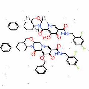 O=C(NCc1ccc(F)cc1F)c1cn2c(c(O)c1=O)C(=O)N1[C@@H](C2)OC[C@@H]2C[C@@H](c3ccccc3)CC[C@@H]21.O=C(NCc1ccc(F)cc1F)c1cn2c(c(OCc3ccccc3)c1=O)C(=O)N1C(C2)OCC2CC(c3ccccc3)CCC21